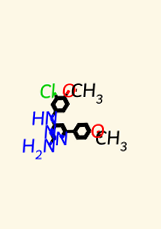 COc1ccc(-c2cc(Nc3ccc(OC)c(Cl)c3)nc(N)n2)cc1